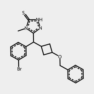 Cn1c(C(c2cccc(Br)c2)C2CC(OCc3ccccc3)C2)n[nH]c1=S